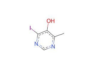 Cc1ncnc(I)c1O